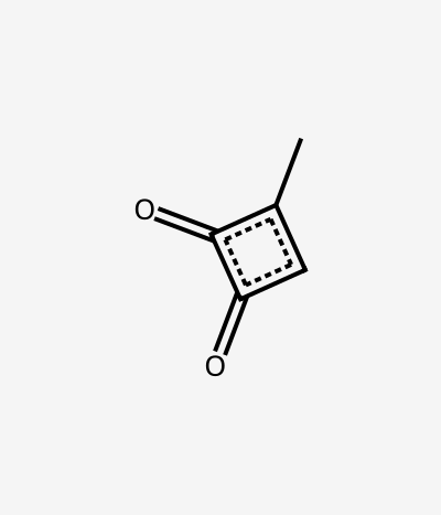 Cc1cc(=O)c1=O